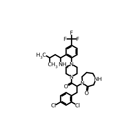 CC(C)CC(N)c1cc(C(F)(F)F)ccc1N1CCN(C(=O)C(Cc2ccc(Cl)cc2Cl)N2CCCNCC2=O)CC1